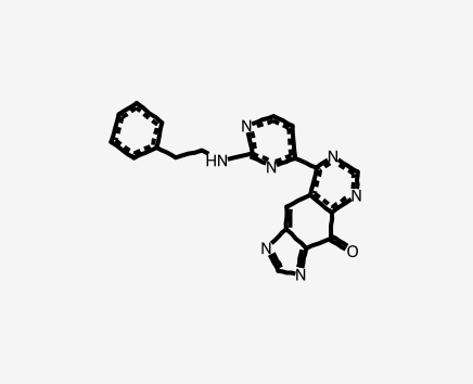 O=C1C2=NC=NC2=Cc2c1ncnc2-c1ccnc(NCCc2ccccc2)n1